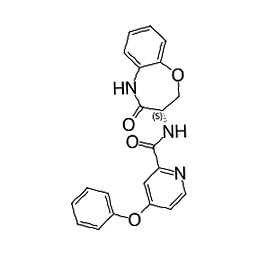 O=C(N[C@H]1COc2ccccc2NC1=O)c1cc(Oc2ccccc2)ccn1